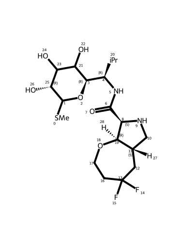 CSC1O[C@H]([C@H](NC(=O)[C@H]2NC[C@@H]3CC(F)(F)CCO[C@H]32)C(C)C)C(O)C(O)[C@H]1O